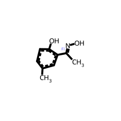 C/C(=N\O)c1cc(C)ccc1O